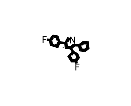 Fc1ccc(-c2[c]c(-c3ccc(F)cc3)c(-c3ccccc3)nc2)cc1